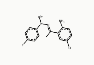 CCCN(/N=C(\C)c1cc(Cl)ccc1N)c1ccc(F)cc1